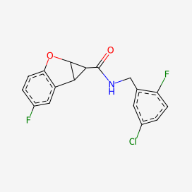 O=C(NCc1cc(Cl)ccc1F)C1C2Oc3ccc(F)cc3C21